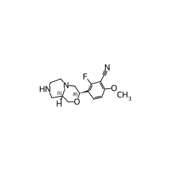 COc1ccc([C@@H]2CN3CCNC[C@H]3CO2)c(F)c1C#N